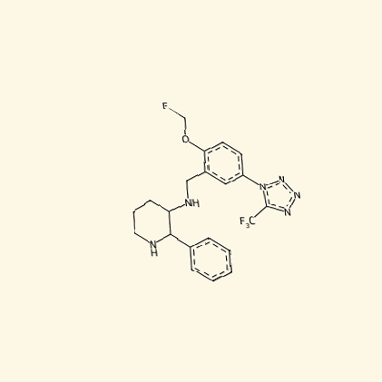 FCOc1ccc(-n2nnnc2C(F)(F)F)cc1CNC1CCCNC1c1ccccc1